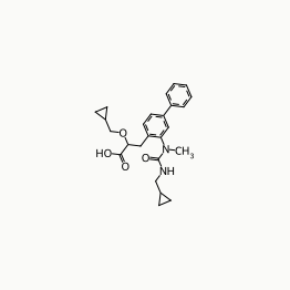 CN(C(=O)NCC1CC1)c1cc(-c2ccccc2)ccc1CC(OCC1CC1)C(=O)O